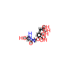 O=C(O)c1c(OC2CN(C(=O)[C@H]3C[C@H](O)CN3)C2)ccc([C@H]2C[C@H]2B(O)O)c1O